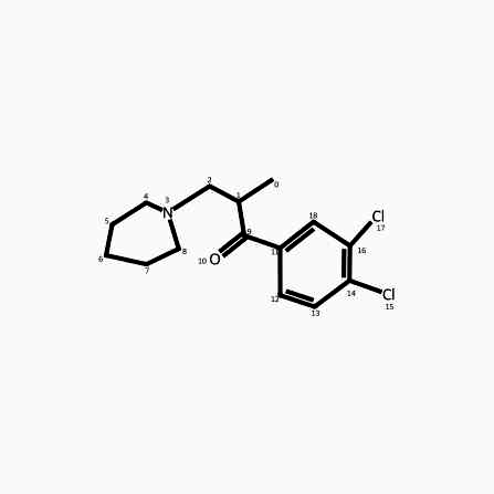 CC(CN1CCCCC1)C(=O)c1ccc(Cl)c(Cl)c1